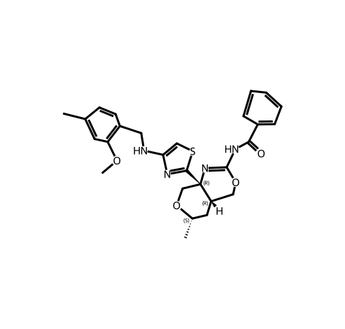 COc1cc(C)ccc1CNc1csc([C@]23CO[C@@H](C)C[C@H]2COC(NC(=O)c2ccccc2)=N3)n1